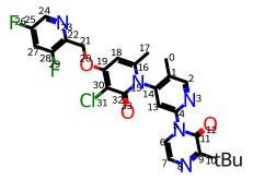 Cc1cnc(-n2ccnc(C(C)(C)C)c2=O)cc1-n1c(C)cc(OCc2ncc(F)cc2F)c(Cl)c1=O